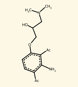 CC(=O)c1ccc(OCC(O)CN(C)C)c(C(C)=O)c1N